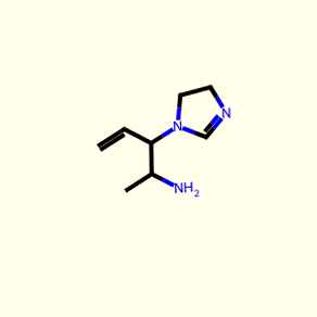 C=CC(C(C)N)N1C=NCC1